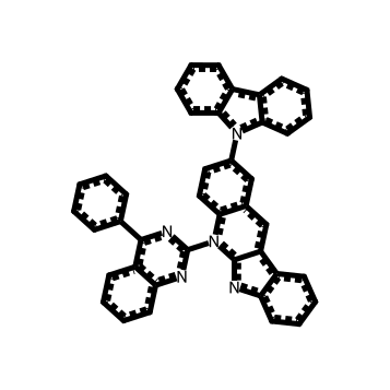 c1ccc(-c2nc(-n3c4nc5ccccc5c-4cc4cc(-n5c6ccccc6c6ccccc65)ccc43)nc3ccccc23)cc1